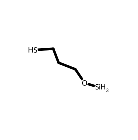 [SiH3]OCCCS